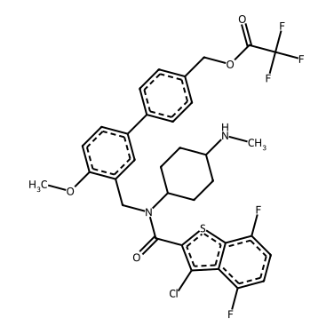 CNC1CCC(N(Cc2cc(-c3ccc(COC(=O)C(F)(F)F)cc3)ccc2OC)C(=O)c2sc3c(F)ccc(F)c3c2Cl)CC1